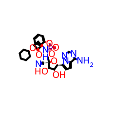 N#C[C@]1(COP(=O)(NC2(C(=O)OC3CCCCC3)CCC2)Oc2ccccc2)O[C@@H](c2ccc3c(N)ncnn23)[C@H](O)[C@@H]1O